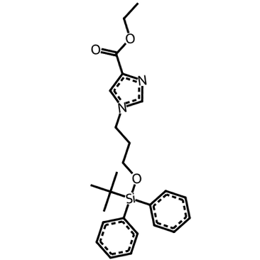 CCOC(=O)c1cn(CCCO[Si](c2ccccc2)(c2ccccc2)C(C)(C)C)cn1